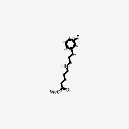 COC(=O)CCCCNCCCc1cccc(F)c1